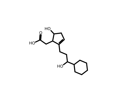 O=C(O)CC1C(CCC(O)C2CCCCC2)=CCC1O